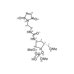 COC[C@H]1C[C@@H](NC(=O)NCCN2C(=O)C=CC2=O)[C@@H](OC)C1OP(=O)(O)OC